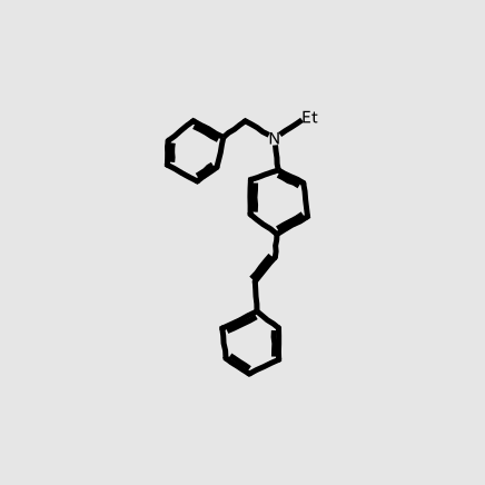 CCN(Cc1ccccc1)c1ccc(C=Cc2ccccc2)cc1